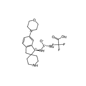 CC(C)(C)[S+]([O-])N[C@@H]1c2cc(N3CCOCC3)ccc2CC12CCNCC2.O=C(O)C(F)(F)F